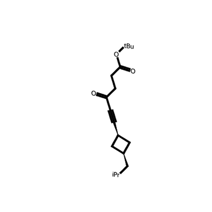 CC(C)C[C@H]1C[C@@H](C#CC(=O)CCC(=O)OC(C)(C)C)C1